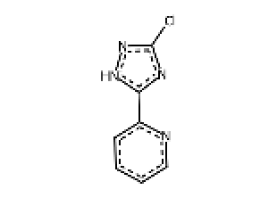 Clc1n[nH]c(-c2ccccn2)n1